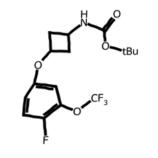 CC(C)(C)OC(=O)NC1CC(Oc2ccc(F)c(OC(F)(F)F)c2)C1